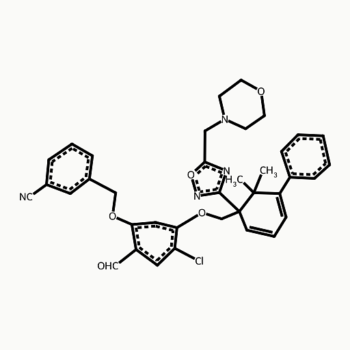 CC1(C)C(c2ccccc2)=CC=CC1(COc1cc(OCc2cccc(C#N)c2)c(C=O)cc1Cl)c1noc(CN2CCOCC2)n1